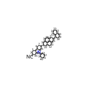 N#Cc1ccc2c3ccc(-c4cc5ccc6cc(-c7cccc8ccccc78)cc7ccc(c4)c5c67)cc3n(-c3ccccc3)c2c1